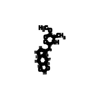 COC(=O)C(C)NC(=O)Cn1ccc2cc3c(cc21)OCO3